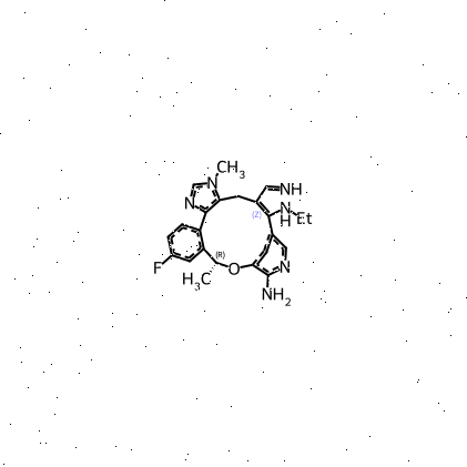 CCN/C1=C(\C=N)Cc2c(ncn2C)-c2ccc(F)cc2[C@@H](C)Oc2cc1cnc2N